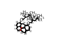 CCC(C)(C)CC(O)COc1ccc2ccccc2c1Cc1c(OCC(O)CC(C)(C)CC)ccc2ccccc12